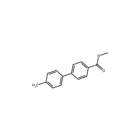 Cc1ccc(-c2ccc(C(=O)OI)cc2)cc1